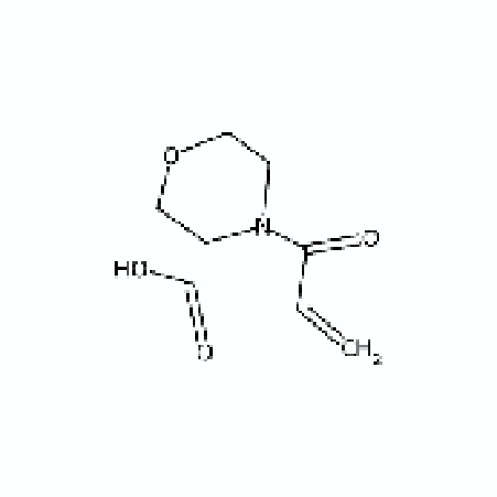 C=CC(=O)N1CCOCC1.O=[C]O